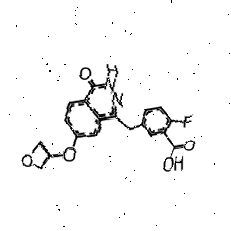 O=C(O)c1cc(Cc2n[nH]c(=O)c3ccc(OC4COC4)cc23)ccc1F